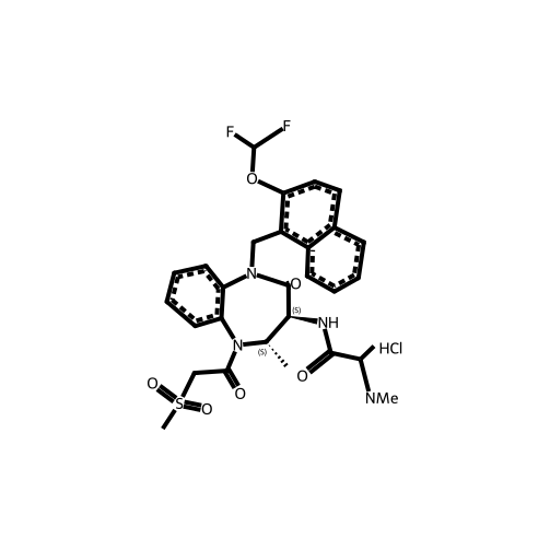 CNC(C)C(=O)N[C@@H]1C(=O)N(Cc2c(OC(F)F)ccc3ccccc23)c2ccccc2N(C(=O)CS(C)(=O)=O)[C@H]1C.Cl